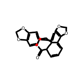 O=C1OCCC23C(=CC=CC12)C1=C(C=C3c2ccc3c(c2)OCO3)OCO1